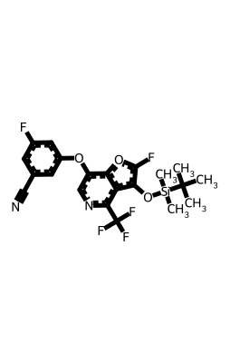 CC(C)(C)[Si](C)(C)Oc1c(F)oc2c(Oc3cc(F)cc(C#N)c3)cnc(C(F)(F)F)c12